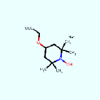 CC1(C)CC(OCC(=O)[O-])CC(C)(C)N1O.[Na+]